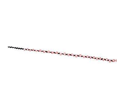 CCCCCCCCCCCCCCCCOCCOCCOCCOCCOCCOCCOCCOCCOCCOCCOCCOCCOCCOCCOCCOCCOCCOCCOCCOCCOCCOCCOCCOCCOCCO